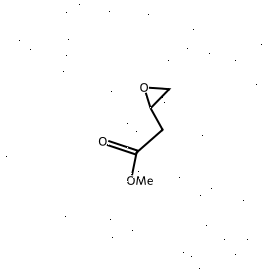 COC(=O)CC1CO1